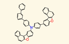 c1ccc(-c2cccc(-c3ccc(N(c4ccc(-c5ccc6oc7ccc8ccccc8c7c6c5)cc4)c4ccc5oc6ccc7ccccc7c6c5c4)cc3)c2)cc1